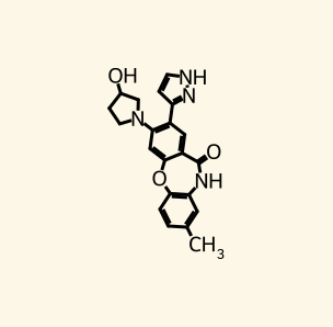 Cc1ccc2c(c1)NC(=O)c1cc(-c3cc[nH]n3)c(N3CCC(O)C3)cc1O2